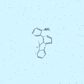 CC1(C)c2ccccc2-c2cccc(-c3ccccc3N)c21